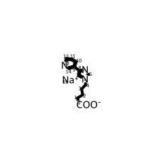 O=C([O-])CCCCn1cnc(-c2cccnc2)c1.[Na+]